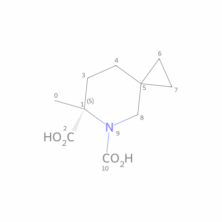 C[C@@]1(C(=O)O)CCC2(CC2)CN1C(=O)O